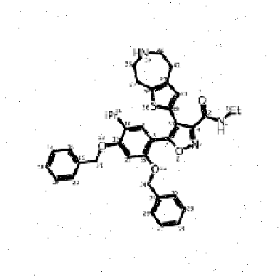 CCNC(=O)c1noc(-c2cc(C(C)C)c(OCc3ccccc3)cc2OCc2ccccc2)c1-c1cc2c(s1)CCNCC2